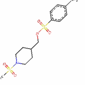 Cc1ccc(S(=O)(=O)OCC2CCN(S(C)(=O)=O)CC2)cc1